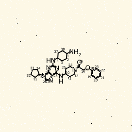 NC1CCC(Nc2nc(NC3CCN(C(=O)COc4ccccc4)CC3)c3ncn(C4CCCC4)c3n2)CC1